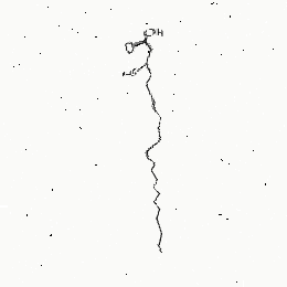 CCCCCCCCCCCCCCCCCCCC(S)CC(=O)O